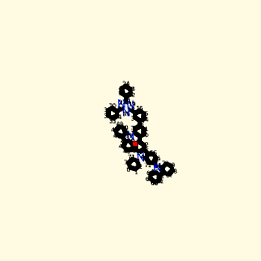 C1=CCC(n2c3ccc(-c4ccc(-c5cccc(-c6nc(-c7ccccc7)nc(-c7ccccc7)n6)c5)cc4-n4c5ccccc5c5ccccc54)cc3c3ccc(-n4c5c(c6ccccc64)C=CCC5)cc32)C=C1